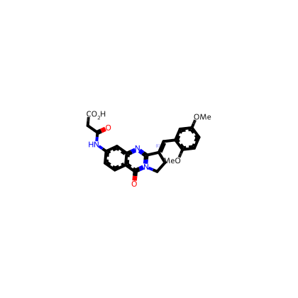 COc1ccc(OC)c(/C=C2\CCn3c2nc2cc(NC(=O)CC(=O)O)ccc2c3=O)c1